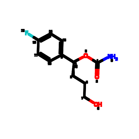 NC(=O)O[C@@H](CCCO)c1ccc(F)cc1